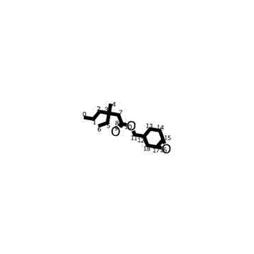 CCCC(C)(CC)CC(=O)OCC1CCC2OC2C1